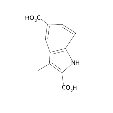 Cc1c(C(=O)O)[nH]c2ccc(C(=O)O)cc12